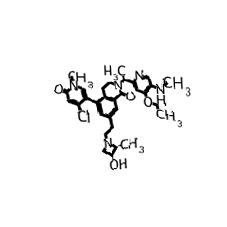 CCOc1cc([C@H](C)N2CCc3c(cc(CCN4C[C@@H](O)[C@H]4C)cc3-c3cn(C)c(=O)cc3Cl)C2=O)ncc1NC